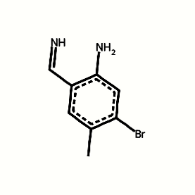 Cc1cc(C=N)c(N)cc1Br